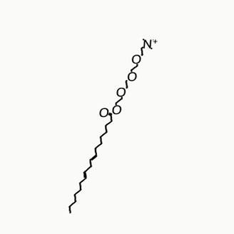 CCCCCCC=CCC=CCCCCCCC(=O)OCCOCCOCCOCC[N+](C)(C)C